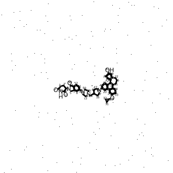 O=C1CCC(N2Cc3cc(N4CCN(CC5CCN(c6ccc(C7=C(c8ccc(OC9CC9)cc8)CCCc8cc(O)ccc87)cc6)CC5)CC4)ccc3C2=O)C(=O)N1